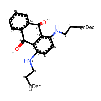 CCCCCCCCCCCCNc1ccc(NCCCCCCCCCCCC)c2c1C(=O)c1ccccc1C2=O